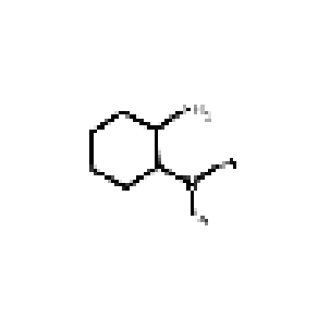 CC(C)N(C(C)C)C1CCCCC1N